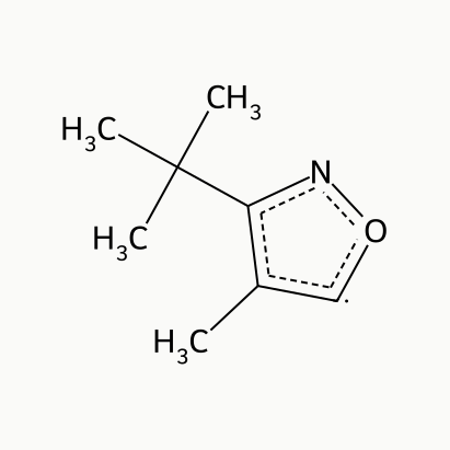 Cc1[c]onc1C(C)(C)C